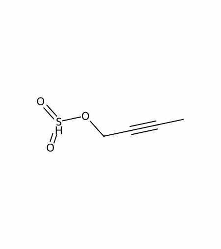 CC#CCO[SH](=O)=O